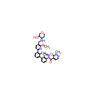 COc1nc(-c2cccc(-c3cccc(NC(=O)c4ccnn(C)c4=O)c3C)c2C)ccc1CN[C@@H]1CCOC[C@@H]1O